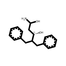 NC(O)C[C@H](O)C(Cc1ccccc1)Cc1ccccc1